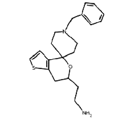 NCCC1Cc2sccc2C2(CCN(Cc3ccccc3)CC2)O1